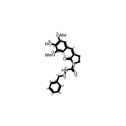 COc1cc(C=C2CCN(C(=O)NOCc3ccccc3)C2=O)cc(OC)c1O